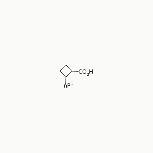 [CH2]CCC1CCC1C(=O)O